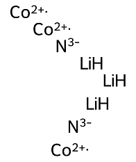 [Co+2].[Co+2].[Co+2].[LiH].[LiH].[LiH].[N-3].[N-3]